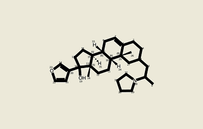 CC(CC1CCC2=CC[C@@H]3[C@@H](CC[C@@]4(C)[C@H]3CCC4(O)c3ccoc3)[C@@]2(C)C1)N1CCCC1